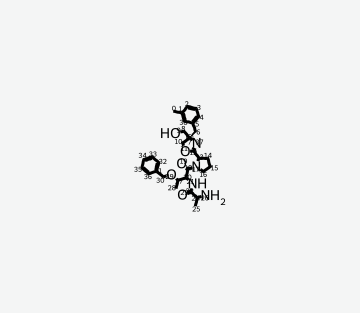 Cc1cccc(C[C@]2(CO)COC(C3CCCN3C(=O)C(NC(=O)C(C)N)C(C)OCc3ccccc3)=N2)c1